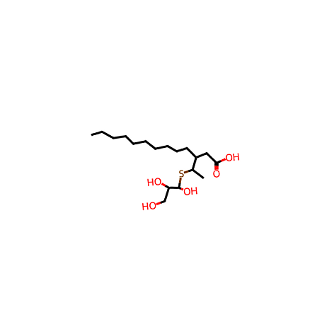 CCCCCCCCCCC(CC(=O)O)C(C)SC(O)C(O)CO